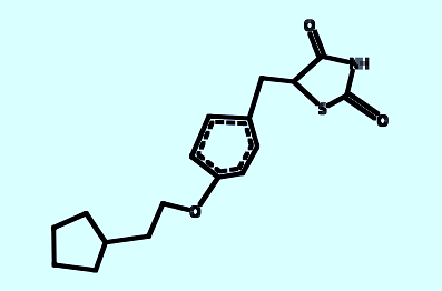 O=C1NC(=O)C(Cc2ccc(OCCC3CCCC3)cc2)S1